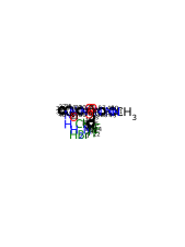 Br.CN1CCN(C2CCN(C(=O)C(Cc3cc(Cl)c(N)c(C(F)(F)F)c3)OC(=O)N3CCC(N4CCc5ccccc5NC4=O)CC3)CC2)CC1